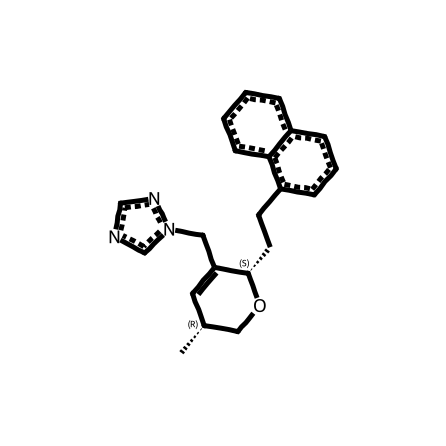 C[C@@H]1C=C(Cn2cncn2)[C@H](CCc2cccc3ccccc23)OC1